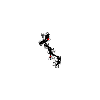 CCC(CC)Sc1ncc(-c2cn(CCCCCC(=O)N[C@@H](CCCCN)C(=O)Nc3ccc(COC(=O)N(CCc4c5c(nc6cc7c(cc46)OCO7)-c4cc6c(c(=O)n4C5)COC(=O)[C@]6(O)CC)C(C)C)cc3)nn2)cn1